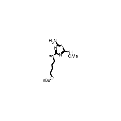 CCCCOCCCCN(C)c1nc(N)nc(NOC)n1